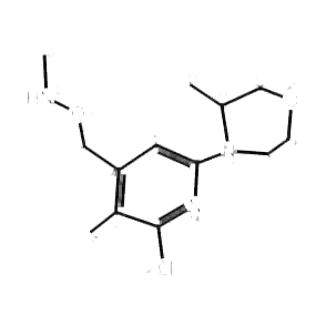 CNOCc1cc(N2CCOCC2C)nc(Cl)c1C